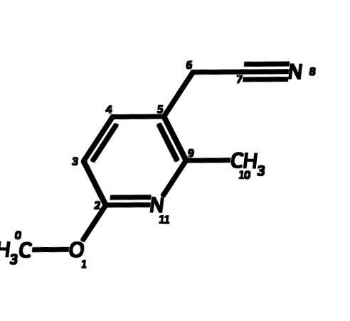 COc1ccc(CC#N)c(C)n1